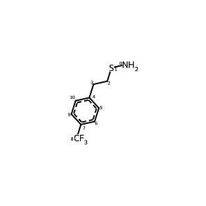 NSCCc1ccc(C(F)(F)F)cc1